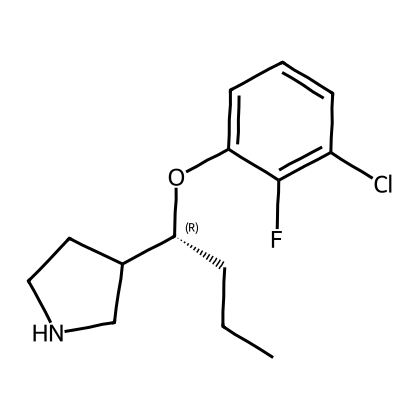 CCC[C@@H](Oc1cccc(Cl)c1F)C1CCNC1